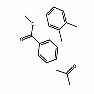 CC(C)=O.COC(=O)c1ccccc1.Cc1ccccc1C